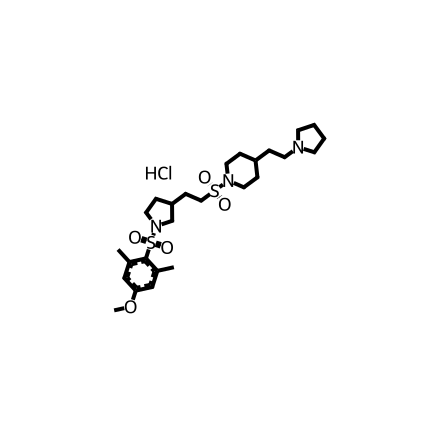 COc1cc(C)c(S(=O)(=O)N2CCC(CCS(=O)(=O)N3CCC(CCN4CCCC4)CC3)C2)c(C)c1.Cl